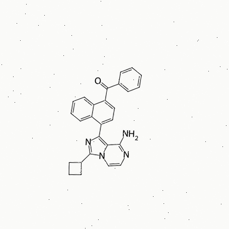 Nc1nccn2c(C3CCC3)nc(-c3ccc(C(=O)c4ccccc4)c4ccccc34)c12